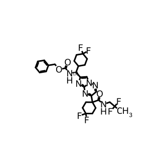 CC(F)(F)CNC(=O)C1(c2cnn3cc([C@@H](NC(=O)OCc4ccccc4)C4CCC(F)(F)CC4)nc3n2)CCC(F)(F)CC1